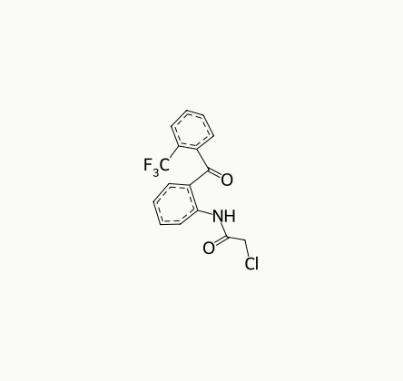 O=C(CCl)Nc1ccccc1C(=O)c1ccccc1C(F)(F)F